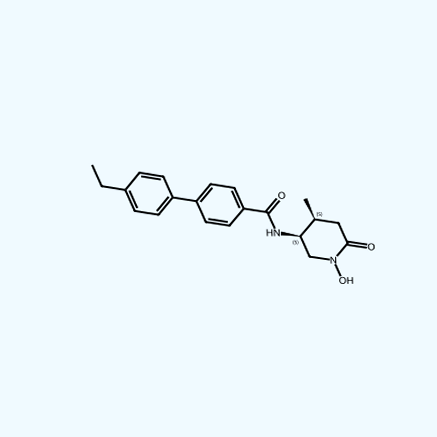 CCc1ccc(-c2ccc(C(=O)N[C@@H]3CN(O)C(=O)C[C@@H]3C)cc2)cc1